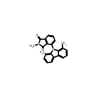 CN1C(=O)c2cccc(-n3c4c(C(F)(F)F)cccc4c4cccc(C(F)(F)F)c43)c2C1=O